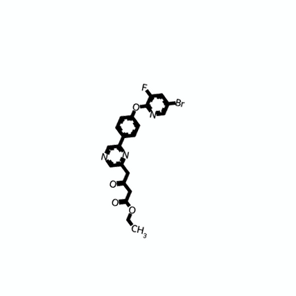 CCOC(=O)CC(=O)Cc1cncc(-c2ccc(Oc3ncc(Br)cc3F)cc2)n1